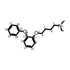 CN(C)CCCCOc1ccccc1Oc1ccccc1